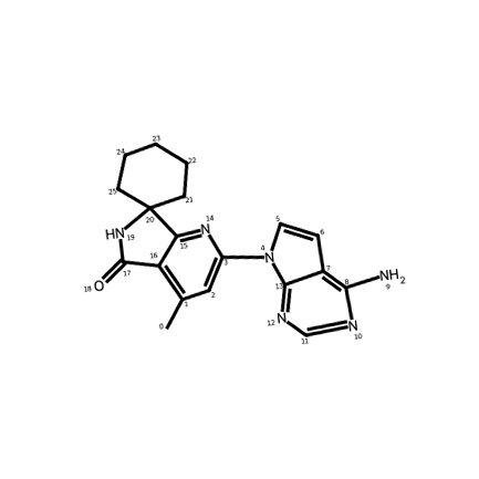 Cc1cc(-n2ccc3c(N)ncnc32)nc2c1C(=O)NC21CCCCC1